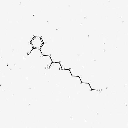 CC(=O)c1ccccc1OCC(O)CNCCCCCCO